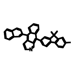 Cc1ccc2c(c1)C(C)(C)c1cc(-c3c4ccccc4c(-c4ccc5ccccc5c4)c4ccncc34)ccc1-2